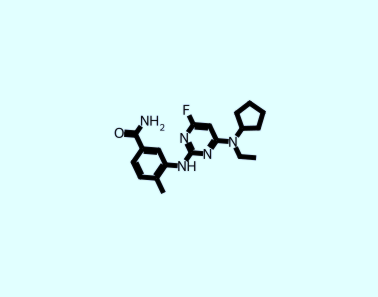 CCN(c1cc(F)nc(Nc2cc(C(N)=O)ccc2C)n1)C1CCCC1